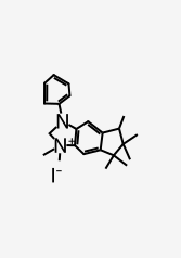 CC1c2cc3c(cc2C(C)(C)C1(C)C)[N+](C)(C)CN3c1ccccc1.[I-]